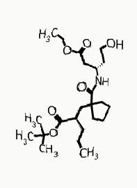 CCC[C@H](CC1(C(=O)N[C@@H](CCO)CC(=O)OCC)CCCC1)C(=O)OC(C)(C)C